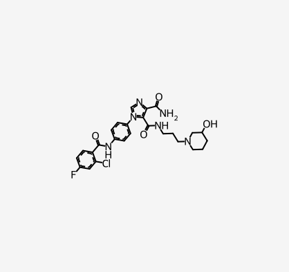 NC(=O)c1ncn(-c2ccc(NC(=O)c3ccc(F)cc3Cl)cc2)c1C(=O)NCCCN1CCCC(O)C1